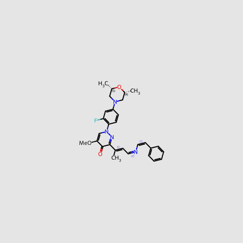 COc1cn(-c2ccc(N3C[C@@H](C)O[C@@H](C)C3)cc2F)nc(/C(C)=C/C=N\C=C/c2ccccc2)c1=O